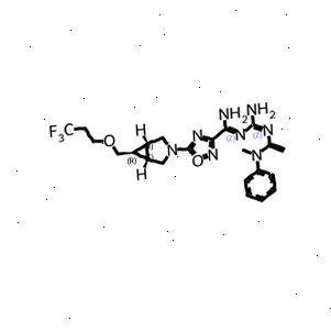 C=C(/N=C(N)\N=C(/N)c1noc(N2C[C@@H]3[C@@H](COCCC(F)(F)F)[C@@H]3C2)n1)N(C)c1ccccc1